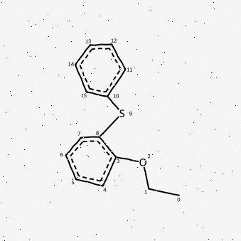 CCOc1c[c]ccc1Sc1ccccc1